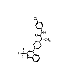 CC(C(=O)Nc1ccc(Cl)cc1)C1CCC(c2cc(C(F)(F)F)nc3ccccc23)CC1